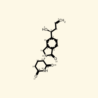 C=CC[C@H](O)c1ccc2c(c1)CN([C@H]1CCC(=O)NC1=O)C2=O